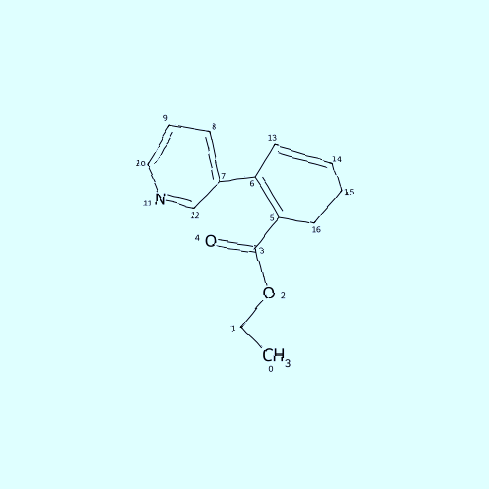 CCOC(=O)C1=C(c2cccnc2)C=CCC1